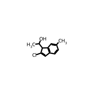 Cc1ccc2c(c1)C(C(C)O)C(Cl)=C2